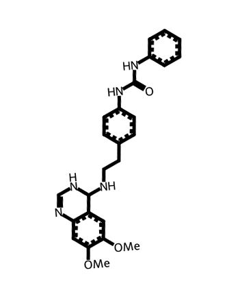 COc1cc2c(cc1OC)C(NCCc1ccc(NC(=O)Nc3ccccc3)cc1)NC=N2